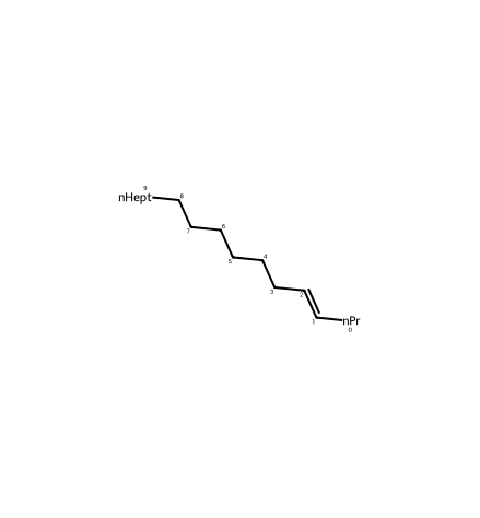 CCCC=CCCCCCCCCCCCCC